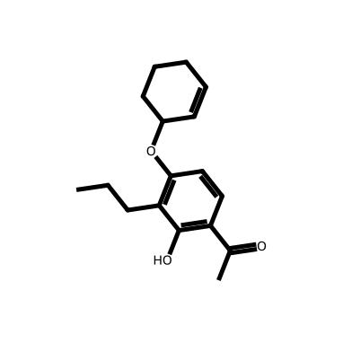 CCCc1c(OC2C=CCCC2)ccc(C(C)=O)c1O